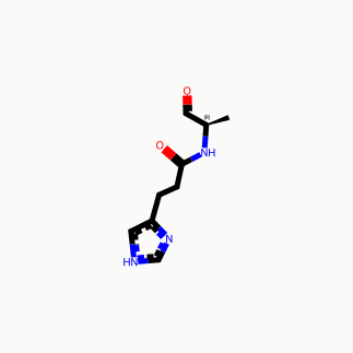 C[C@H](C=O)NC(=O)CCc1c[nH]cn1